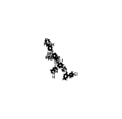 CC1(C)CCC(CN2CCN(c3ccc(C(=O)NS(=O)(=O)c4ccc(NCC5CCC(N=[SH]6(O)CCOCC6)CC5)c(S(=O)(=O)C(F)(F)F)c4)c(Oc4cnc5[nH]ccc5c4)c3)CC2)=C(c2ccc(Cl)cc2)C1